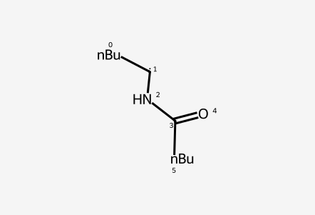 CCCC[CH]NC(=O)CCCC